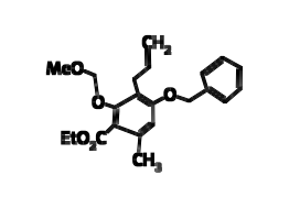 C=CCc1c(OCc2ccccc2)cc(C)c(C(=O)OCC)c1OCOC